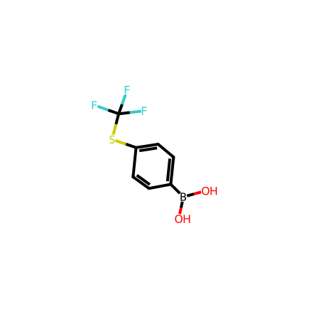 OB(O)c1ccc(SC(F)(F)F)cc1